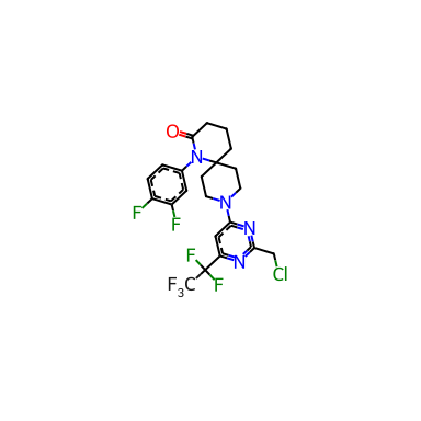 O=C1CCCC2(CCN(c3cc(C(F)(F)C(F)(F)F)nc(CCl)n3)CC2)N1c1ccc(F)c(F)c1